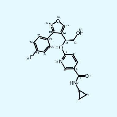 O=C(NC1CC1)c1ccc(O[C@H](CO)c2conc2-c2ccc(F)cc2)nc1